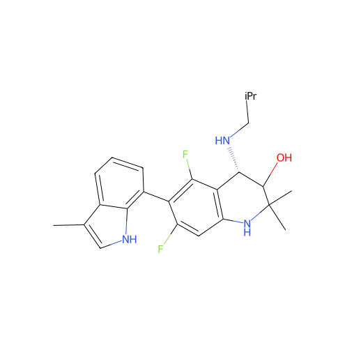 Cc1c[nH]c2c(-c3c(F)cc4c(c3F)[C@H](NCC(C)C)C(O)C(C)(C)N4)cccc12